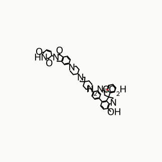 N[C@@H](CC1(c2ccccc2)C=Nc2c(O)ccc(-c3ccc(N4CCC5(CC4)CN(C4CCN(c6ccc7c(c6)CN(C6C=CC(=O)NC6=O)C7=O)CC4)C5)cc3)c21)C(=O)O